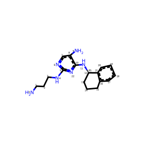 NCCCNc1ncc(N)c(N[C@@H]2CCCc3ccccc32)n1